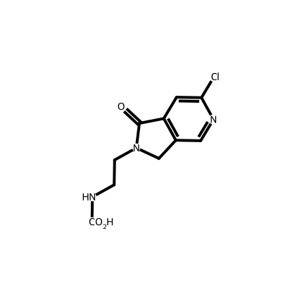 O=C(O)NCCN1Cc2cnc(Cl)cc2C1=O